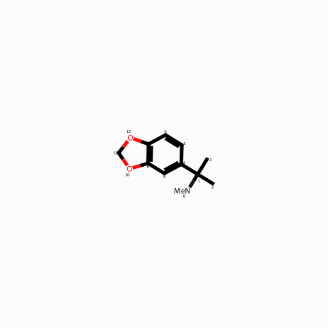 CNC(C)(C)c1ccc2c(c1)OCO2